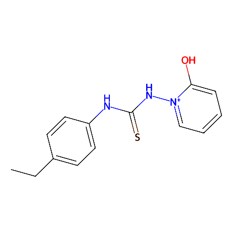 CCc1ccc(NC(=S)N[n+]2ccccc2O)cc1